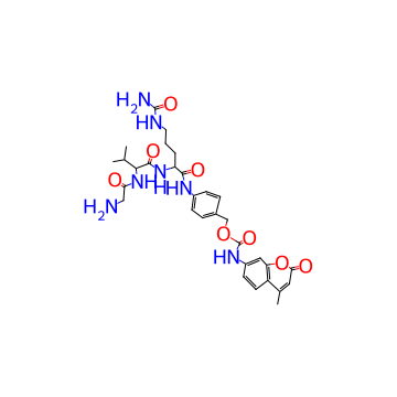 Cc1cc(=O)oc2cc(NC(=O)OCc3ccc(NC(=O)C(CCCNC(N)=O)NC(=O)C(NC(=O)CN)C(C)C)cc3)ccc12